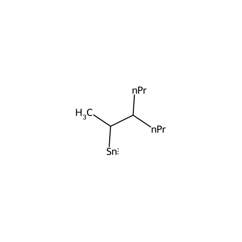 CCCC(CCC)[CH](C)[Sn]